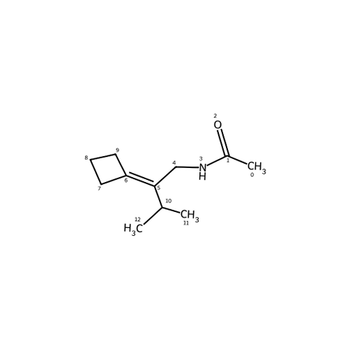 CC(=O)NCC(=C1CCC1)C(C)C